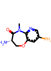 CN1C(=O)[C@@H](N)COc2cc(P)cnc21